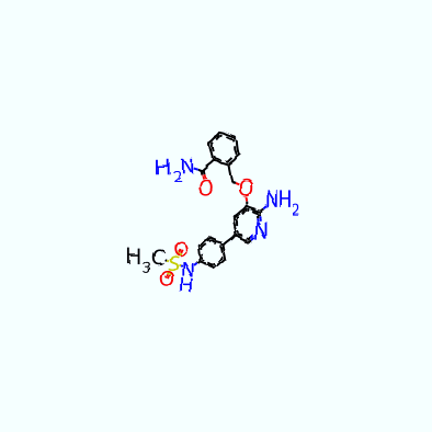 CS(=O)(=O)Nc1ccc(-c2cnc(N)c(OCc3ccccc3C(N)=O)c2)cc1